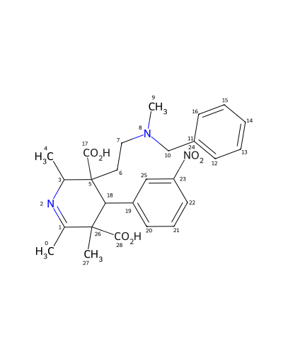 CC1=NC(C)C(CCN(C)Cc2ccccc2)(C(=O)O)C(c2cccc([N+](=O)[O-])c2)C1(C)C(=O)O